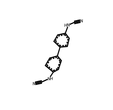 N#CNc1ccc(-c2ccc(NC#N)cc2)cc1